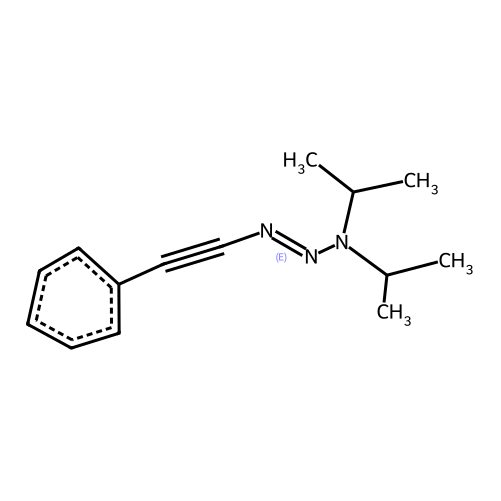 CC(C)N(/N=N/C#Cc1ccccc1)C(C)C